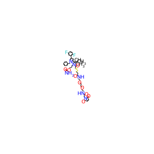 CC(C)(C)[C@H](c1cc(-c2cc(F)ccc2F)cn1Cc1ccccc1)N(CCCOC(N)=O)C(=O)CSCCC(=O)NCCOCCOCCNC(=O)CN1C(=O)C=CC1=O